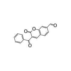 O=Cc1ccc2cc(C(=O)c3ccccc3)c(=O)oc2c1